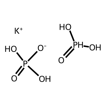 O=P([O-])(O)O.O=[PH](O)O.[K+]